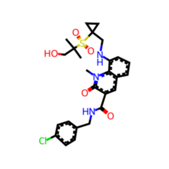 Cn1c(=O)c(C(=O)NCc2ccc(Cl)cc2)cc2cccc(NCC3(S(=O)(=O)C(C)(C)CO)CC3)c21